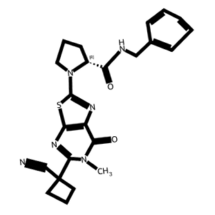 Cn1c(C2(C#N)CCC2)nc2sc(N3CCC[C@@H]3C(=O)NCc3ccccc3)nc2c1=O